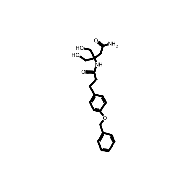 NC(=O)CC(CO)(CO)NC(=O)[CH]Cc1ccc(OCc2ccccc2)cc1